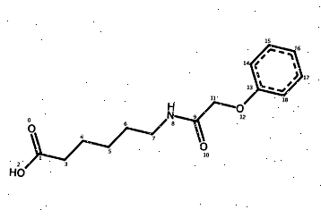 O=C(O)CCCCCNC(=O)COc1ccccc1